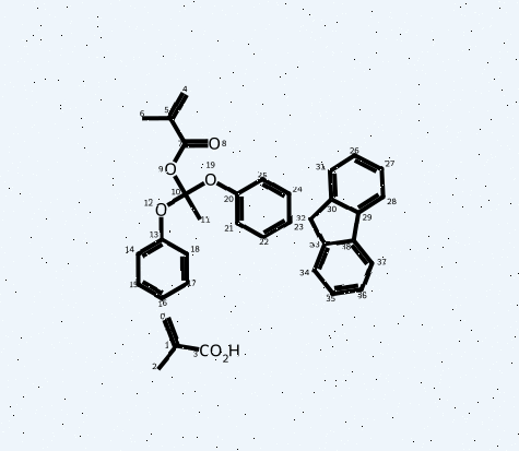 C=C(C)C(=O)O.C=C(C)C(=O)OC(C)(Oc1ccccc1)Oc1ccccc1.c1ccc2c(c1)Cc1ccccc1-2